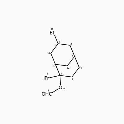 CCC1CC2CCC(OC=O)(C(C)C)C(C1)C2